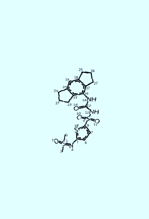 CS(C)(=O)=Nc1ccc(S(=O)(=O)NC(=O)Nc2c3c(cc4c2CCC4)CCC3)s1